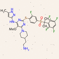 COc1c(Nc2cc(C)[nH]n2)nc(Sc2ccc(S(=O)(=O)C(C)(C)c3c(F)c(F)cc(F)c3F)cc2F)nc1N1CCC(CCN)CC1